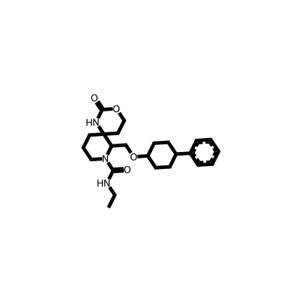 CCNC(=O)N1CCCC2(CCOC(=O)N2)C1COC1CCC(c2ccccc2)CC1